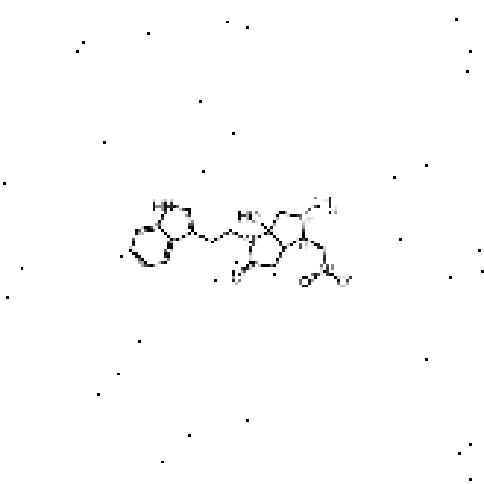 C[C@H]1CC2(O)C(CC(=O)N2CCc2c[nH]c3ccccc23)[C@@H]1C[N+](=O)[O-]